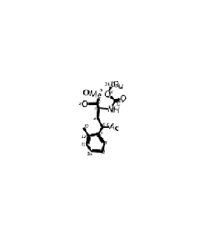 COC(=O)C(CC(C(C)=O)c1ccccc1C)NC(=O)OC(C)(C)C